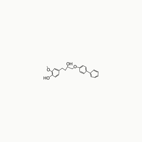 COc1cc(CCC(O)COc2ccc(-c3ccccc3)cc2)ccc1O